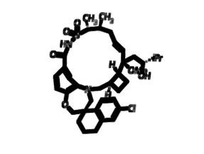 CO[C@]1(C[C@@H](O)C(C)C)/C=C/C[C@H](C)[C@@H](C)S(=O)(=O)NC(=O)c2ccc3c(c2)N(C[C@@H]2CC[C@H]21)C[C@@]1(CCCc2cc(Cl)ccc21)CO3